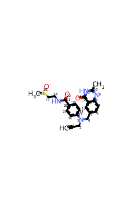 C#CCN(Cc1ccc2nc(C)[nH]c(=O)c2c1)c1ccc(C(=O)NCC[S+](C)[O-])cc1